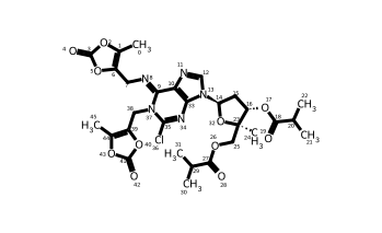 Cc1oc(=O)oc1C/N=c1/c2ncn([C@H]3C[C@H](OC(=O)C(C)C)[C@@](C)(COC(=O)C(C)C)O3)c2nc(Cl)n1Cc1oc(=O)oc1C